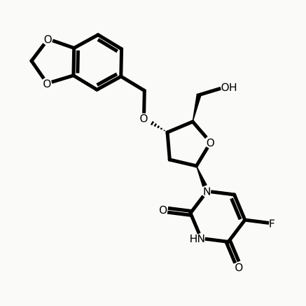 O=c1[nH]c(=O)n([C@H]2C[C@H](OCc3ccc4c(c3)OCO4)[C@@H](CO)O2)cc1F